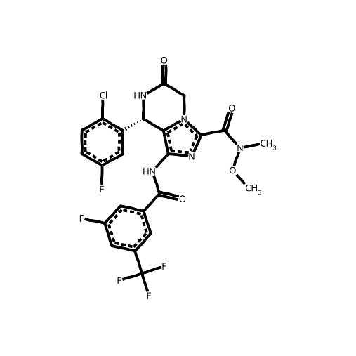 CON(C)C(=O)c1nc(NC(=O)c2cc(F)cc(C(F)(F)F)c2)c2n1CC(=O)N[C@H]2c1cc(F)ccc1Cl